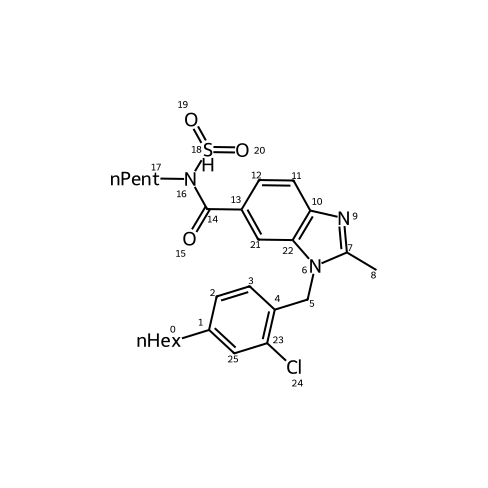 CCCCCCc1ccc(Cn2c(C)nc3ccc(C(=O)N(CCCCC)[SH](=O)=O)cc32)c(Cl)c1